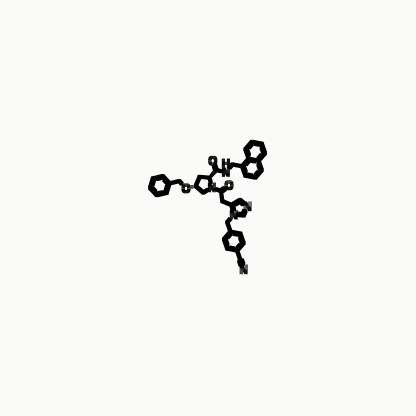 N#Cc1ccc(Cn2cncc2CC(=O)N2C[C@H](OCc3ccccc3)C[C@H]2C(=O)NCc2cccc3ccccc23)cc1